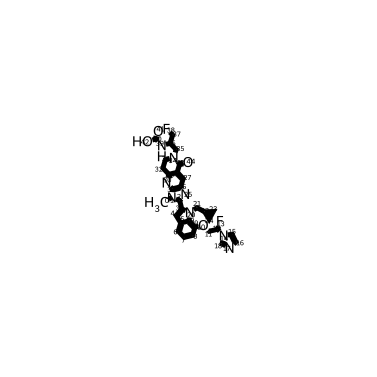 Cn1c(-c2cc3cccc(OCC(F)n4ccnc4)c3n2CC2CC2)nc2cc3c(nc21)CCN(CC(CF)NC(=O)O)C3=O